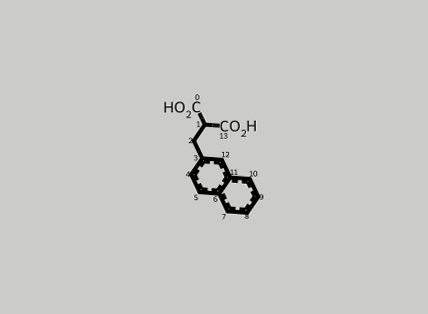 O=C(O)C(Cc1ccc2ccccc2c1)C(=O)O